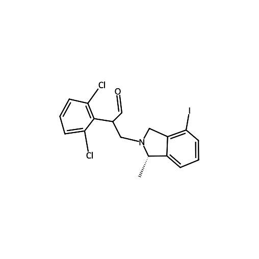 C[C@H]1c2cccc(I)c2CN1CC(C=O)c1c(Cl)cccc1Cl